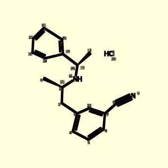 C[C@H](Cc1cccc(C#N)c1)N[C@H](C)c1ccccc1.Cl